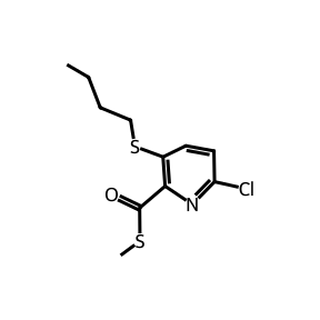 CCCCSc1ccc(Cl)nc1C(=O)SC